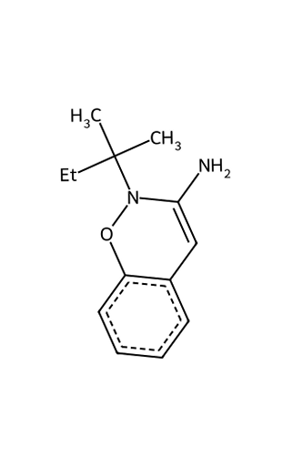 CCC(C)(C)N1Oc2ccccc2C=C1N